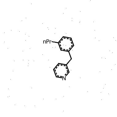 CCCc1cccc(Cc2cccnc2)c1